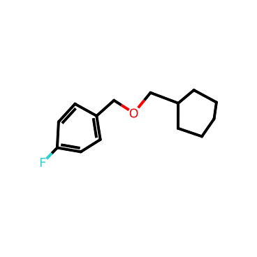 Fc1ccc(COCC2CCCCC2)cc1